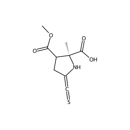 COC(=O)C1CC(=C=S)N[C@]1(C)C(=O)O